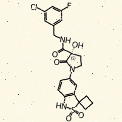 O=C(NCc1cc(F)cc(Cl)c1)[C@@]1(O)CCN(c2ccc3c(c2)C2(CCC2)S(=O)(=O)N3)C1=O